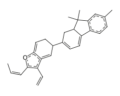 C=Cc1c(/C=C\C)oc2c1=CC(C1=CC=C3c4ccc(C)cc4C(C)(C)C3C1)CC=2